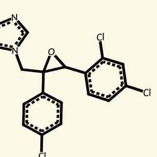 Clc1ccc(C2(Cn3ccnc3)OC2c2ccc(Cl)cc2Cl)cc1